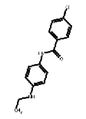 CCNc1ccc(NC(=O)c2ccc(Cl)cc2)cc1